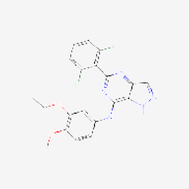 CCOc1cc(Nc2nc(-c3c(F)cccc3F)nc3cn[nH]c23)ccc1OC